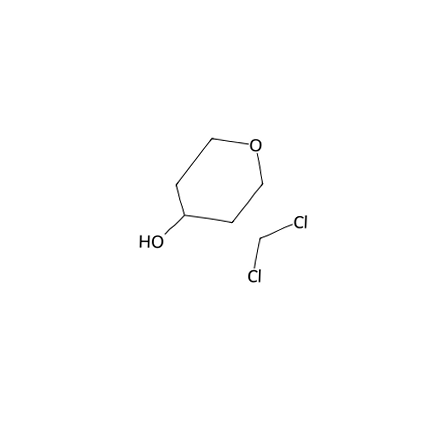 ClCCl.OC1CCOCC1